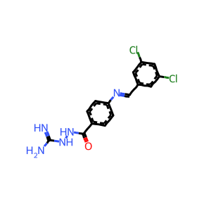 N=C(N)NNC(=O)c1ccc(N=Cc2cc(Cl)cc(Cl)c2)cc1